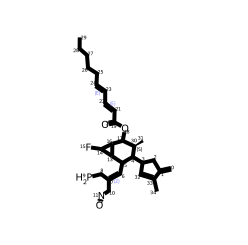 C=C1CC(C2C(/C=C(\CP)CN=O)C3C(F)C3C(OC(=O)/C=C/C=C/CCCCC)[C@H]2C)C=C1C